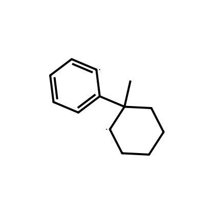 CC1(c2[c]cccc2)[CH]CCCC1